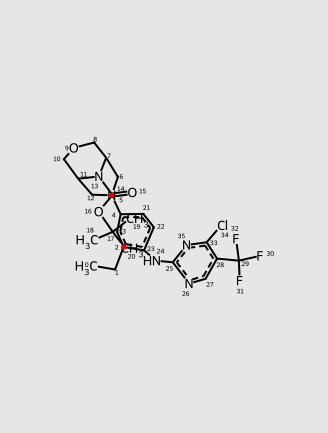 CCc1cc(N2CC3COCC(C2)N3C(=O)OC(C)(C)C)ccc1Nc1ncc(C(F)(F)F)c(Cl)n1